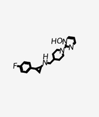 ON1C=CC=NC1N1CCC(CNC2CC2c2ccc(F)cc2)CC1